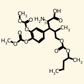 CCCC(C)OC(=O)OCC(C)C(c1ccc(OC(=O)OC)c(OC(=O)OC)c1)[C@H](N)C(=O)O